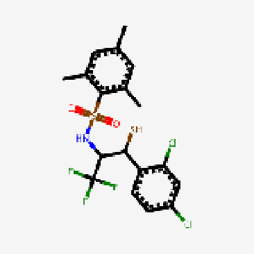 Cc1cc(C)c(S(=O)(=O)NC(C(S)c2ccc(Cl)cc2Cl)C(F)(F)F)c(C)c1